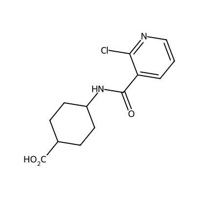 O=C(NC1CCC(C(=O)O)CC1)c1cccnc1Cl